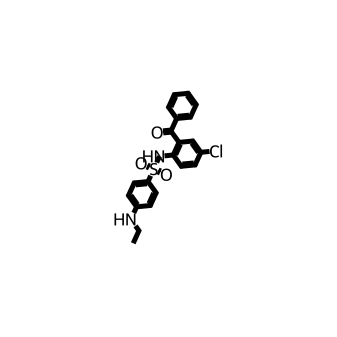 CCNc1ccc(S(=O)(=O)Nc2ccc(Cl)cc2C(=O)c2ccccc2)cc1